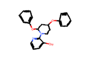 Oc1cccnc1N1CCC(Oc2ccccc2)CC1Oc1ccccc1